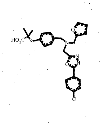 CC(C)(Sc1ccc(CN(Cc2ccco2)Cc2nnc(-c3ccc(Cl)cc3)o2)cc1)C(=O)O